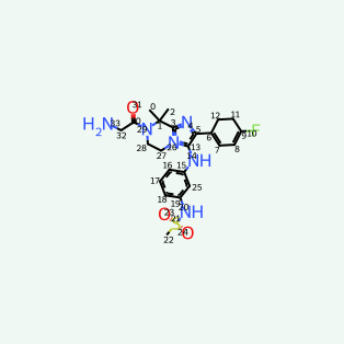 CC1(C)c2nc(C3=CC=C(F)CC3)c(Nc3cccc(NS(C)(=O)=O)c3)n2CCN1C(=O)CN